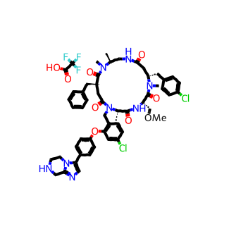 COC[C@@H]1NC(=O)[C@H](C)N(Cc2ccc(Cl)cc2Oc2ccc(-c3cnc4n3CCNC4)cc2)C(=O)C[C@@H](Cc2ccccc2)C(=O)N(C)[C@@H](C)CNC(=O)C[C@H](Cc2ccc(Cl)cc2)N(C)C1=O.O=C(O)C(F)(F)F